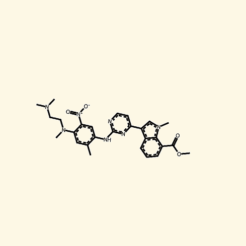 COC(=O)c1cccc2c(-c3ccnc(Nc4cc([N+](=O)[O-])c(N(C)CCN(C)C)cc4C)n3)cn(C)c12